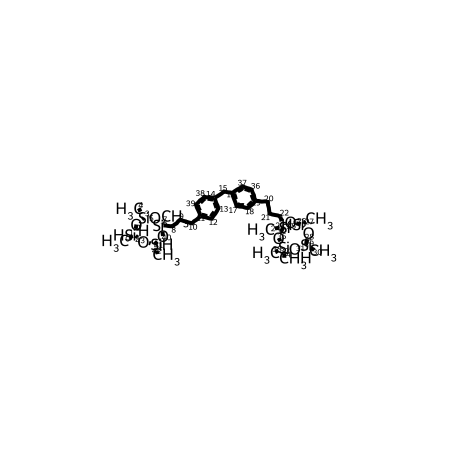 C[SiH]1O[SiH](C)O[Si](C)(CCCc2ccc(Cc3ccc(CCC[Si]4(C)O[SiH](C)O[SiH](C)O[Si](C)(C)O4)cc3)cc2)O[SiH](C)O1